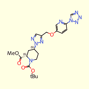 COC(=O)[C@@H]1C[C@@H](n2ncc(COc3ccc(-n4cnnn4)nc3)n2)CCN1C(=O)OC(C)(C)C